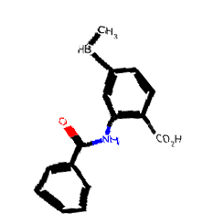 CBc1ccc(C(=O)O)c(NC(=O)c2ccccc2)c1